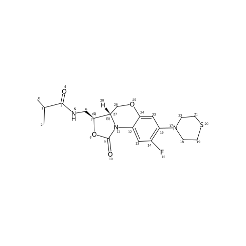 CC(C)C(=O)NC[C@@H]1OC(=O)N2c3cc(F)c(N4CCSCC4)cc3OC[C@@H]12